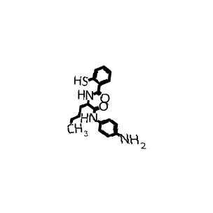 CCCCC(NC(=O)c1ccccc1S)C(=O)Nc1ccc(N)cc1